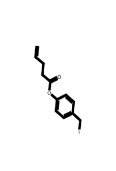 C=CCCC(=O)Oc1ccc(CI)cc1